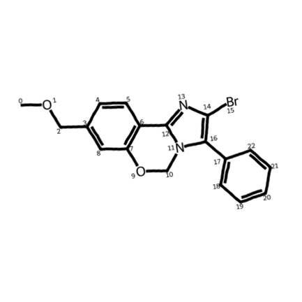 COCc1ccc2c(c1)OCn1c-2nc(Br)c1-c1ccccc1